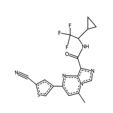 Cc1cc(-c2csc(C#N)c2)nc2c(C(=O)NC(C3CC3)C(F)(F)F)ncn12